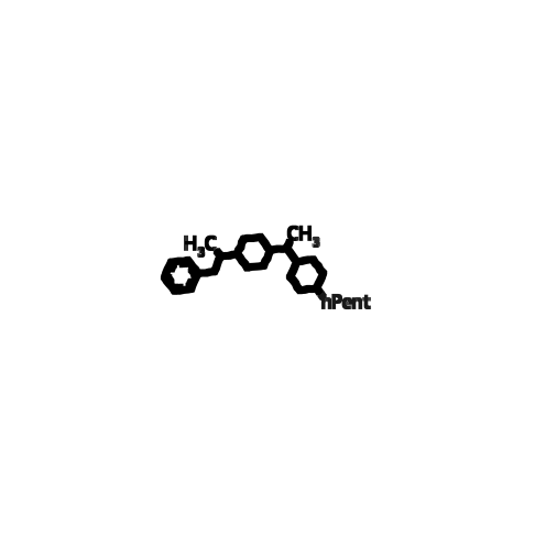 CCCCCC1CCC(C(C)C2CCC(C(C)Cc3ccccc3)CC2)CC1